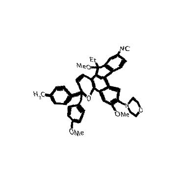 [C-]#[N+]c1ccc2c(c1)C(CC)(OC)c1c3c(c4cc(OC)c(N5CCOCC5)cc4c1-2)OC(c1ccc(C)cc1)(c1ccc(OC)cc1)C=C3